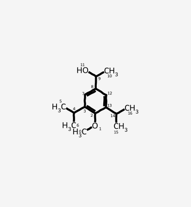 COc1c(C(C)C)cc(C(C)O)cc1C(C)C